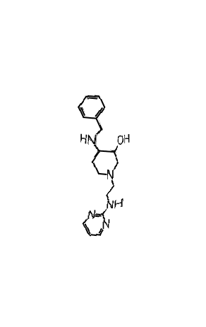 OC1CN(CCNc2ncccn2)CCC1NCc1ccccc1